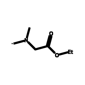 [CH2]N(C)CC(=O)OCC